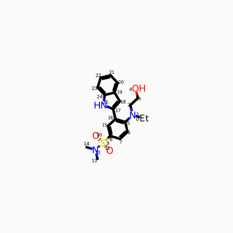 CCN(CCO)c1ccc(S(=O)(=O)N(C)C)cc1-c1cc2ccccc2[nH]1